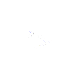 CC(=O)N1CC[C@H](c2n[nH]c(=S)[nH]2)[C@H](NC(=O)c2ccc(OCc3cc(C)nc4ccccc34)cc2)C1.O=C(O)C(F)(F)F